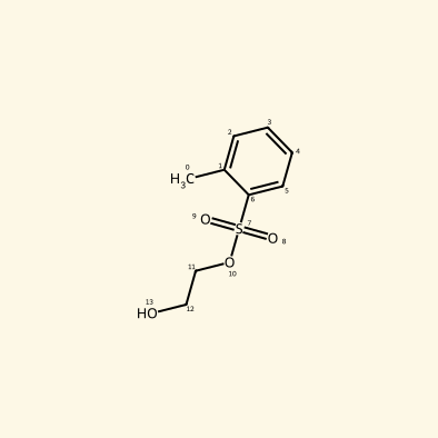 Cc1ccccc1S(=O)(=O)OCCO